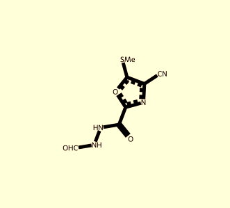 CSc1oc(C(=O)NNC=O)nc1C#N